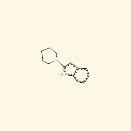 c1ccc2[nH]c(N3CCCCC3)cc2c1